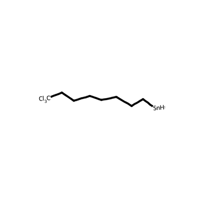 ClC(Cl)(Cl)CCCCCC[CH2][SnH]